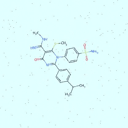 CNC(=N)c1c(SC)n(-c2ccc(S(N)(=O)=O)cc2)c(-c2ccc(C(C)C)cc2)nc1=O